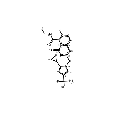 CCNC(=O)c1c(C)ccc2nc(Cn3nc(C(F)(F)P)cc3C3CC3)cc(=O)n12